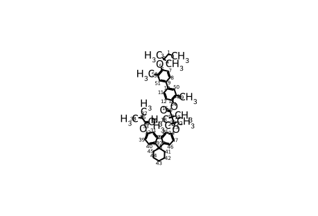 CCC(C)(C)Oc1ccc(-c2ccc(OC(=O)C(C)(C)C(C)(C)Oc3ccc(C4(c5ccc(OC(=O)C(C)C)cc5)CCCCC4)cc3)c(C)c2)cc1C